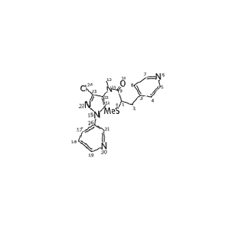 CSC(Cc1ccncc1)C(=O)N(C)c1cn(-c2cccnc2)nc1Cl